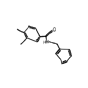 Cc1ccc(C(=O)NCc2ccccc2)cc1C